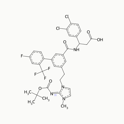 Cn1ccn(CCc2cc(C(=O)NC(CC(=O)O)c3ccc(Cl)c(Cl)c3)cc(-c3ccc(F)cc3C(F)(F)F)c2)/c1=N\C(=O)OC(C)(C)C